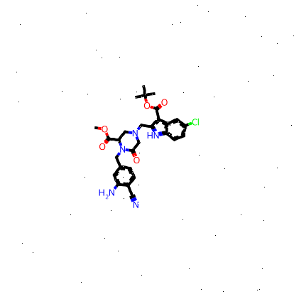 COC(=O)C1CN(Cc2[nH]c3ccc(Cl)cc3c2C(=O)OC(C)(C)C)CC(=O)N1Cc1ccc(C#N)c(N)c1